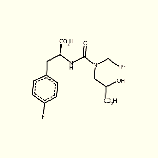 CC(C)CN(CC(O)C(=O)O)C(=O)N[C@@H](Cc1ccc(F)cc1)C(=O)O